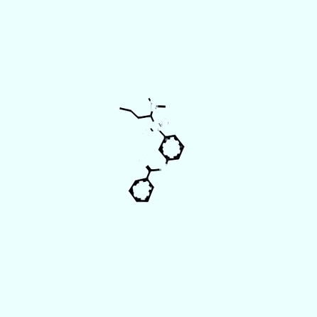 CCCC(N(C)C)S(=O)(=O)c1cccc(OC(=O)c2ccccc2)c1